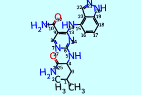 CC(C)CC(Nc1ncc(C(N)=O)c(Nc2cccc3[nH]ncc23)n1)C(N)=O